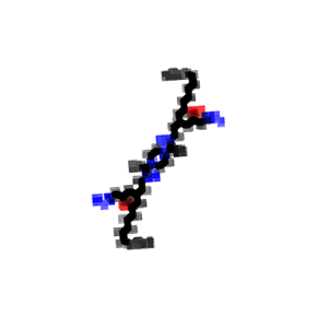 CCCCCCCC/C=C\CCCCCC(CCNC(CC)N1CCN(C(CC)NCCC(CCCCC/C=C\CCCCCCCC)CC(O)CN)CC1)CC(O)CN